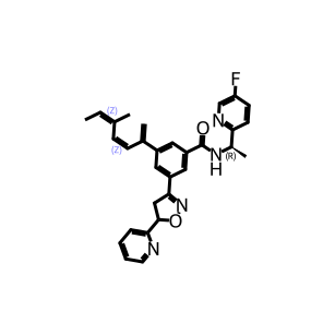 C=C(/C=C\C(C)=C/C)c1cc(C(=O)N[C@H](C)c2ccc(F)cn2)cc(C2=NOC(c3ccccn3)C2)c1